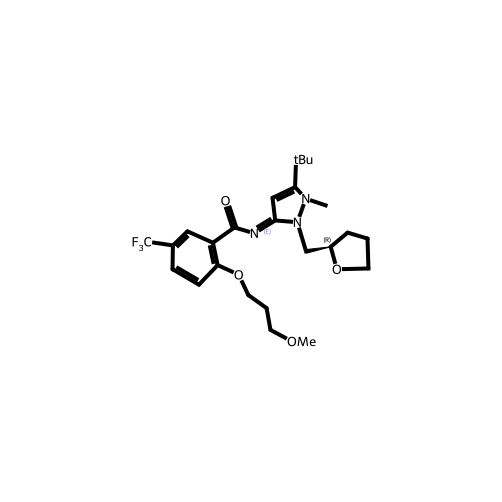 COCCCOc1ccc(C(F)(F)F)cc1C(=O)/N=c1\cc(C(C)(C)C)n(C)n1C[C@H]1CCCO1